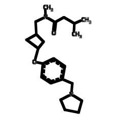 CC(C)CC(=O)N(C)CC1CC(Oc2ccc(CN3CCCC3)cc2)C1